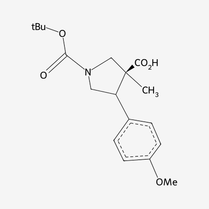 COc1ccc(C2CN(C(=O)OC(C)(C)C)C[C@@]2(C)C(=O)O)cc1